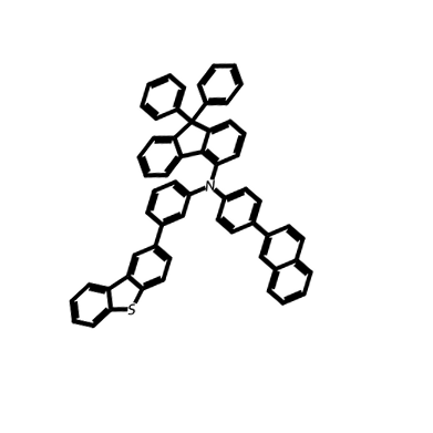 c1ccc(C2(c3ccccc3)c3ccccc3-c3c(N(c4ccc(-c5ccc6ccccc6c5)cc4)c4cccc(-c5ccc6sc7ccccc7c6c5)c4)cccc32)cc1